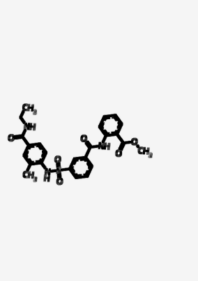 CCNC(=O)c1ccc(NS(=O)(=O)c2cccc(C(=O)Nc3ccccc3C(=O)OC)c2)c(C)c1